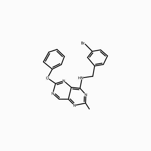 Cc1nc(NCc2cccc(Br)c2)c2nc(Oc3ccccc3)ncc2n1